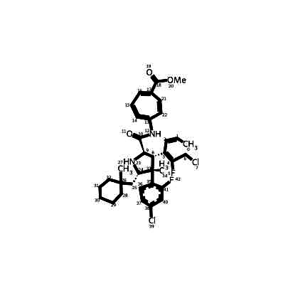 C/C=C\C(=C(\F)CCl)[C@H]1[C@H](C(=O)NC2=C=CC=C(C(=O)OC)C=C2)N[C@@H](CC2(C)CCCCC2)[C@@]1(C)c1ccc(Cl)cc1F